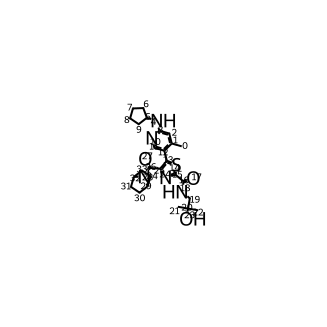 Cc1cc(NC2CCCC2)ncc1-c1sc(C(=O)NCC(C)(C)O)nc1C(=O)N1C2CCC1CC2